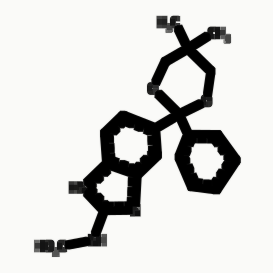 CC1(C)COC(c2ccccc2)(c2ccc3[nH]c(NC(=O)O)nc3c2)OC1